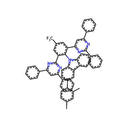 Cc1ccc(-c2ccc3c(c2)c2ccccc2n3-c2c(-c3cc(-c4ccccc4)nc(-c4ccccc4)n3)cc(C(F)(F)F)cc2-c2nc(-c3ccccc3)cc(-c3ccccc3)n2)c(C)c1